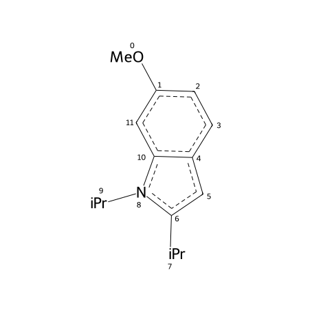 COc1ccc2cc(C(C)C)n(C(C)C)c2c1